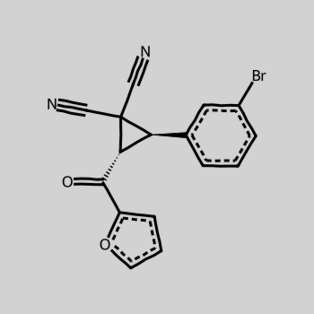 N#CC1(C#N)[C@@H](C(=O)c2ccco2)[C@@H]1c1cccc(Br)c1